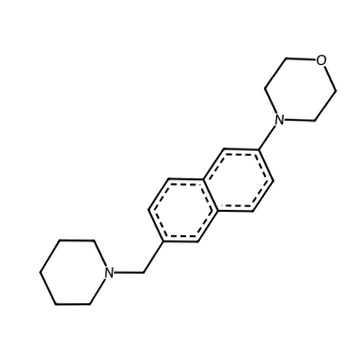 c1cc2cc(N3CCOCC3)ccc2cc1CN1CCCCC1